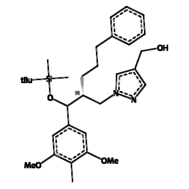 COc1cc(C(O[Si](C)(C)C(C)(C)C)[C@H](CCCc2ccccc2)Cn2cc(CO)cn2)cc(OC)c1C